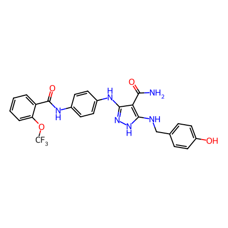 NC(=O)c1c(Nc2ccc(NC(=O)c3ccccc3OC(F)(F)F)cc2)n[nH]c1NCc1ccc(O)cc1